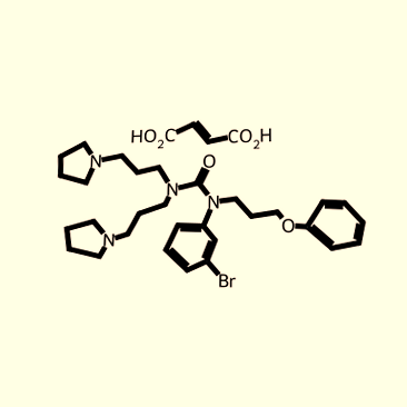 O=C(N(CCCN1CCCC1)CCCN1CCCC1)N(CCCOc1ccccc1)c1cccc(Br)c1.O=C(O)C=CC(=O)O